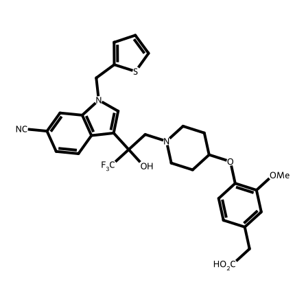 COc1cc(CC(=O)O)ccc1OC1CCN(CC(O)(c2cn(Cc3cccs3)c3cc(C#N)ccc23)C(F)(F)F)CC1